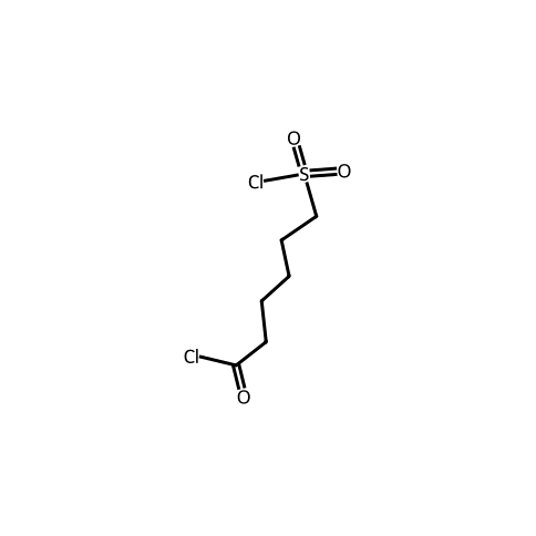 O=C(Cl)CCCCCS(=O)(=O)Cl